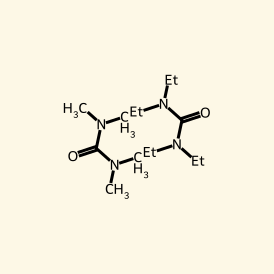 CCN(CC)C(=O)N(CC)CC.CN(C)C(=O)N(C)C